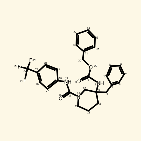 O=C(NC1(Cc2ccccc2)CCCN(C(=O)Nc2ccc(C(F)(F)F)cc2)C1)OCc1ccccc1